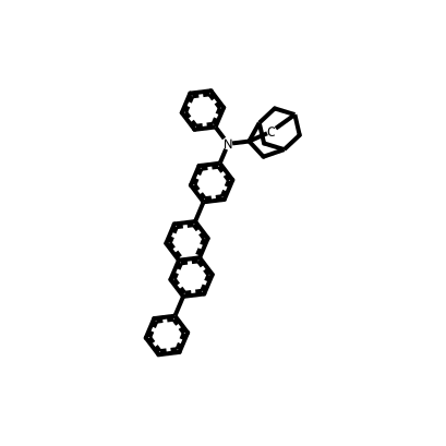 c1ccc(-c2ccc3cc(-c4ccc(N(c5ccccc5)C56CC7CC(CC5C7)C6)cc4)ccc3c2)cc1